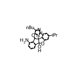 CCCCc1cn(C23C(=O)c4c(N)cccc4C2(O)Oc2cc(C(C)C)ccc23)nn1